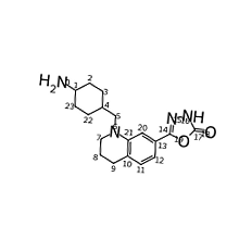 NC1CCC(CN2CCCc3ccc(-c4n[nH]c(=O)o4)cc32)CC1